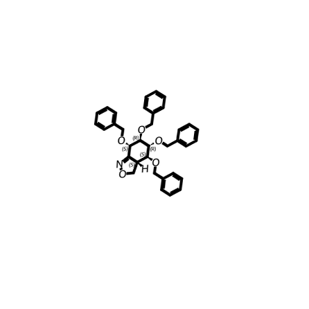 c1ccc(CO[C@@H]2[C@@H](OCc3ccccc3)[C@@H]3CON=C3[C@H](OCc3ccccc3)[C@H]2OCc2ccccc2)cc1